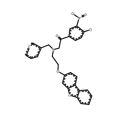 O=C(CN(CCOc1ccc2c(c1)oc1ccccc12)Cc1ccccc1)c1ccc(Cl)c([N+](=O)[O-])c1